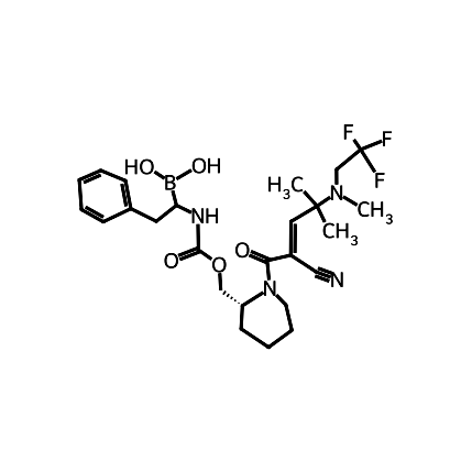 CN(CC(F)(F)F)C(C)(C)C=C(C#N)C(=O)N1CCCC[C@@H]1COC(=O)NC(Cc1ccccc1)B(O)O